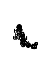 CC(C)(C)[C@H](NC(=O)c1cc2ccccc2[nH]1)C(=O)N1C[C@@H]2C[C@H]1CN2C(=O)c1ccc(C2=CCOC(=O)C2)cn1